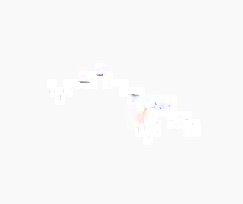 C/C=C/C=C\CC/C=C/C(=O)NC(C)C